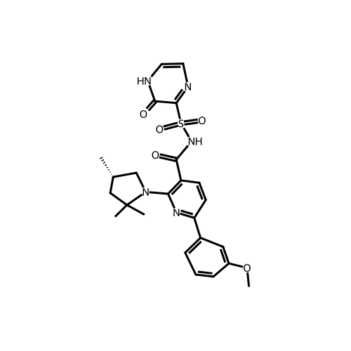 COc1cccc(-c2ccc(C(=O)NS(=O)(=O)c3ncc[nH]c3=O)c(N3C[C@@H](C)CC3(C)C)n2)c1